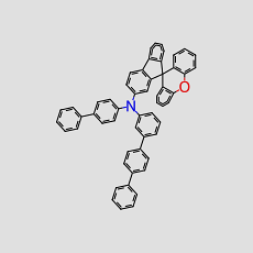 c1ccc(-c2ccc(-c3cccc(N(c4ccc(-c5ccccc5)cc4)c4ccc5c(c4)C4(c6ccccc6Oc6ccccc64)c4ccccc4-5)c3)cc2)cc1